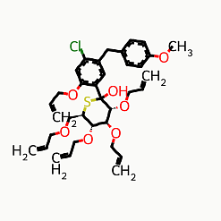 C=CCOC[C@H]1SC(O)(c2cc(Cc3ccc(OC)cc3)c(Cl)cc2OCC=C)[C@H](OCC=C)[C@@H](OCC=C)[C@@H]1OCC=C